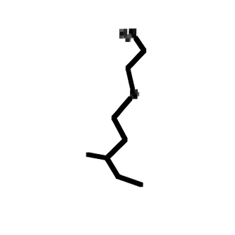 CCC(C)CC[N]CCN